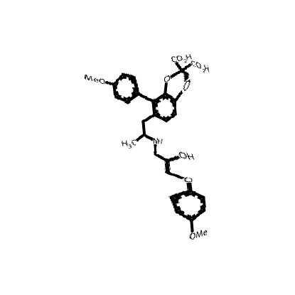 COc1ccc(OCC(O)CNC(C)Cc2ccc3c(c2-c2ccc(OC)cc2)OC(C(=O)O)(C(=O)O)O3)cc1